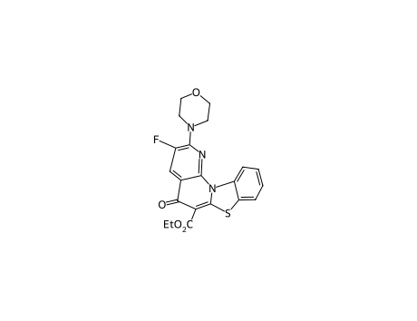 CCOC(=O)c1c(=O)c2cc(F)c(N3CCOCC3)nc2n2c1sc1ccccc12